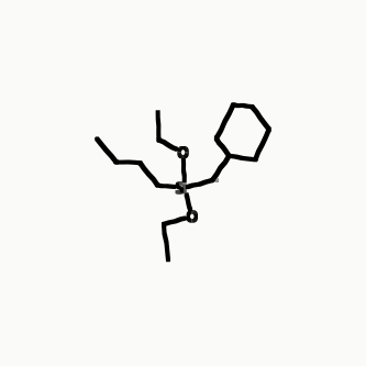 CCCC[Si]([CH]C1CCCCC1)(OCC)OCC